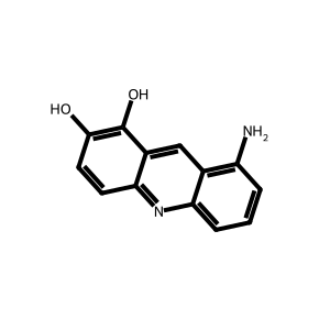 Nc1cccc2nc3ccc(O)c(O)c3cc12